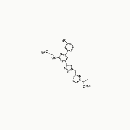 COCCNc1nc(-c2cccc(C#N)c2)cc(-c2cn(Cc3cccc(C(C)OC)n3)nn2)n1